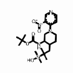 CC(C)(C)OC(=O)NC1CN(c2ccncc2[N+](=O)[O-])CCC1CC(C)(C)[Si](C)(C)O